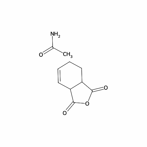 CC(N)=O.O=C1OC(=O)C2CCC=CC12